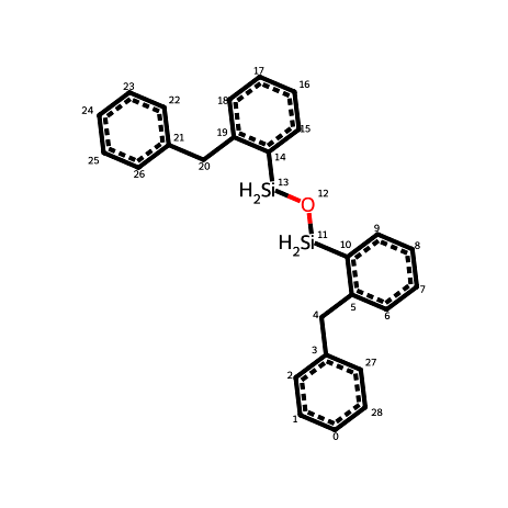 c1ccc(Cc2ccccc2[SiH2]O[SiH2]c2ccccc2Cc2ccccc2)cc1